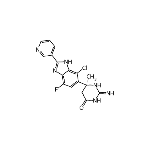 C[C@@]1(c2cc(F)c3nc(-c4cccnc4)[nH]c3c2Cl)CC(=O)NC(=N)N1